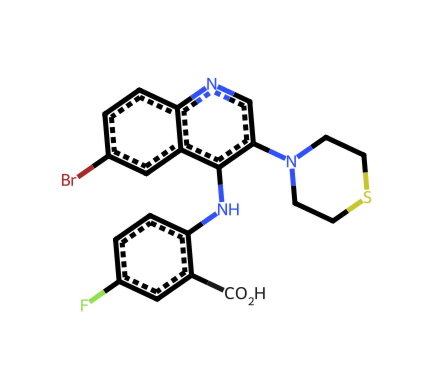 O=C(O)c1cc(F)ccc1Nc1c(N2CCSCC2)cnc2ccc(Br)cc12